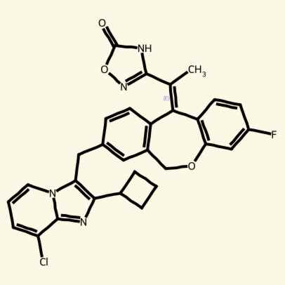 C/C(=C1/c2ccc(Cc3c(C4CCC4)nc4c(Cl)cccn34)cc2COc2cc(F)ccc21)c1noc(=O)[nH]1